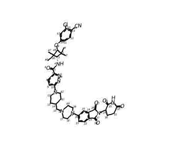 CC1(C)[C@H](NC(=O)c2ccc(N3CCC(CN4CCN(c5ccc6c(c5)C(=O)N(C5CCC(=O)NC5=O)C6=O)CC4)CC3)nn2)C(C)(C)[C@H]1Oc1ccc(C#N)c(Cl)c1